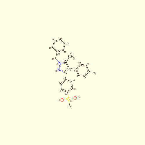 Cc1ccc(-c2c(-c3ccc(S(C)(=O)=O)cc3)nn(Cc3ccccc3)c2C(F)(F)F)cc1